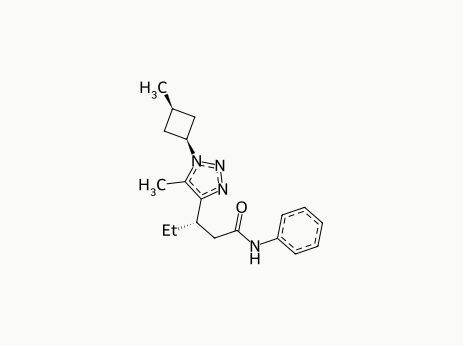 CC[C@@H](CC(=O)Nc1ccccc1)c1nnn([C@H]2C[C@@H](C)C2)c1C